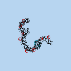 Cc1ccc(C(=O)c2ccc(Oc3ccc(C(c4ccc(Oc5ccc(C(=O)c6ccc(-c7ccc(C(=O)c8ccc(-c9ccc(C)cc9C(=O)c9ccc(Oc%10ccc(Oc%11ccccc%11)cc%10)cc9)cc8)cc7)cc6)cc5)cc4)(C(F)(F)F)C(F)(F)F)cc3)cc2)cc1